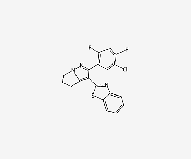 Fc1cc(F)c(-c2nn3c(c2-c2nc4ccccc4s2)CCC3)cc1Cl